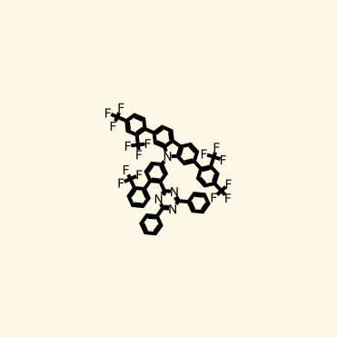 FC(F)(F)c1ccc(-c2ccc3c4ccc(-c5ccc(C(F)(F)F)cc5C(F)(F)F)cc4n(-c4ccc(-c5ccccc5C(F)(F)F)c(-c5nc(-c6ccccc6)nc(-c6ccccc6)n5)c4)c3c2)c(C(F)(F)F)c1